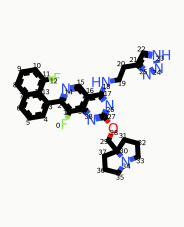 Fc1c(-c2cccc3cccc(F)c23)ncc2c(NCCc3c[nH]nn3)nc(OCC34CCCN3CCC4)nc12